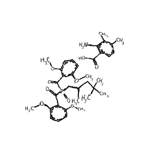 COc1cccc(OC)c1C(=O)P(=O)(CC(C)CC(C)(C)C)C(=O)c1c(OC)cccc1OC.Cc1ccc(C(=O)O)c(N)c1C